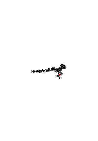 N#CC[C@H]1CN(c2nc(OC[C@@H]3C[C@@H](COCCOCCOCCOCCO)CN3)nc3c2CCN(c2cccc4ccccc24)C3)CCN1